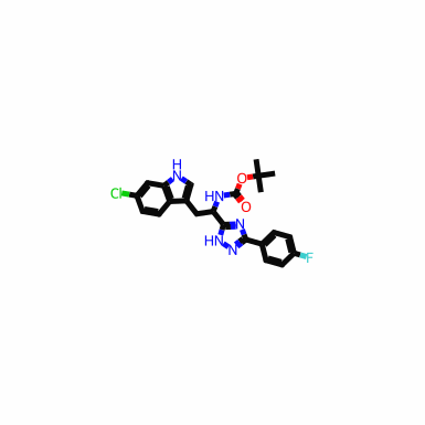 CC(C)(C)OC(=O)NC(Cc1c[nH]c2cc(Cl)ccc12)c1nc(-c2ccc(F)cc2)n[nH]1